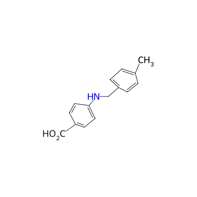 Cc1ccc(CNc2ccc(C(=O)O)cc2)cc1